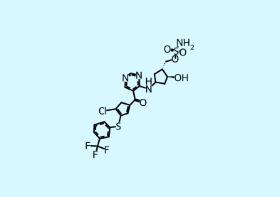 NS(=O)(=O)OC[C@H]1CC(Nc2ncncc2C(=O)C2=CC(Sc3cccc(C(F)(F)F)c3)=C(Cl)C2)C[C@@H]1O